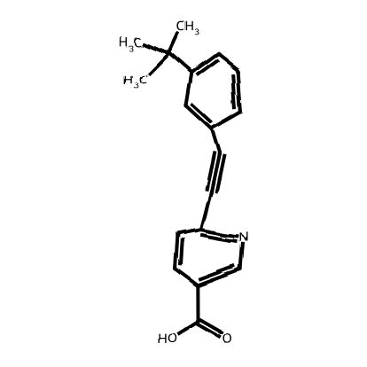 CC(C)(C)c1cccc(C#Cc2ccc(C(=O)O)cn2)c1